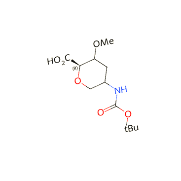 COC1CC(NC(=O)OC(C)(C)C)CO[C@H]1C(=O)O